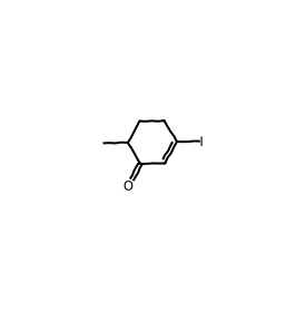 CC1CCC(I)=CC1=O